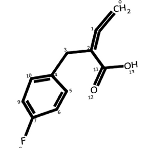 C=C=C(Cc1ccc(F)cc1)C(=O)O